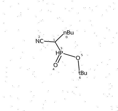 CCCCC(C#N)[PH](=O)OC(C)(C)C